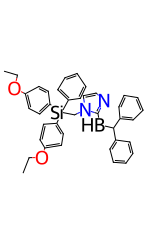 CCOc1ccc([Si](Cn2ccnc2BC(c2ccccc2)c2ccccc2)(c2ccccc2)c2ccc(OCC)cc2)cc1